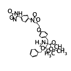 CC(C)(C)OC(=O)C(N)(Cc1ccc(OCC2CN(c3ccc(-c4noc(=O)[nH]4)cc3)C(=O)O2)cc1)C(=O)OCc1ccccc1